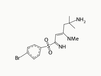 CN/C(=C\C(=N)S(=O)(=O)c1ccc(Br)cc1)CC(C)(C)N